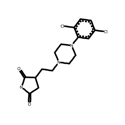 O=C1CC(CCN2CCN(c3cc(Cl)ccc3Cl)CC2)C(=O)[N]1